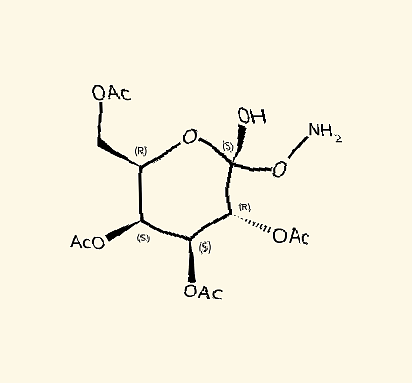 CC(=O)OC[C@H]1O[C@](O)(ON)[C@H](OC(C)=O)[C@@H](OC(C)=O)[C@H]1OC(C)=O